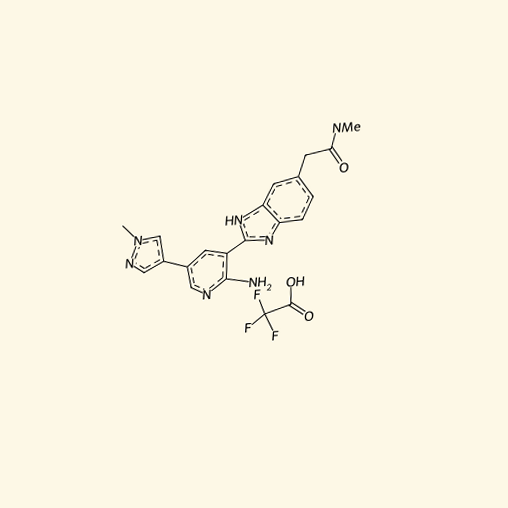 CNC(=O)Cc1ccc2nc(-c3cc(-c4cnn(C)c4)cnc3N)[nH]c2c1.O=C(O)C(F)(F)F